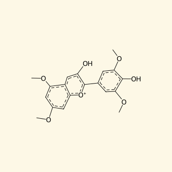 COc1cc(OC)c2cc(O)c(-c3cc(OC)c(O)c(OC)c3)[o+]c2c1